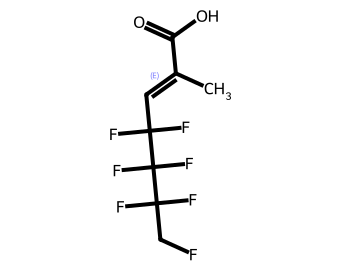 C/C(=C\C(F)(F)C(F)(F)C(F)(F)CF)C(=O)O